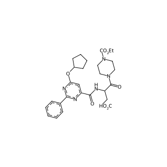 CCOC(=O)N1CCN(C(=O)C(CC(=O)O)NC(=O)c2cc(OC3CCCC3)nc(-c3ccccc3)n2)CC1